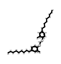 CCCCCCCCCc1ccc(OCOc2ccc(CCCCCCCCC)cc2C)c(C)c1